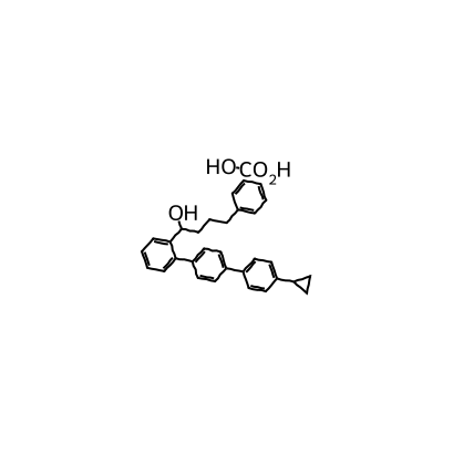 O=C(O)O.OC(CCCc1ccccc1)c1ccccc1-c1ccc(-c2ccc(C3CC3)cc2)cc1